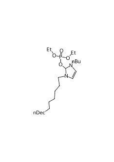 CCCCCCCCCCCCCCCCN1C=CN(CCCC)C1OP(=O)(OCC)OCC